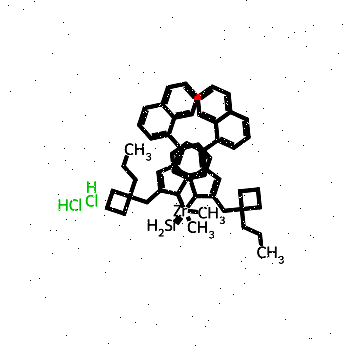 CCCC1(CC2=Cc3c(-c4cccc5ccccc45)cccc3[CH]2[Zr]([CH3])([CH3])(=[SiH2])[CH]2C(CC3(CCC)CCC3)=Cc3c(-c4cccc5ccccc45)cccc32)CCC1.Cl.Cl